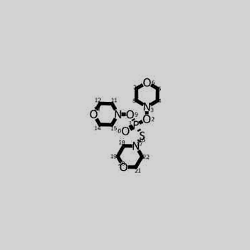 O=P(ON1CCOCC1)(ON1CCOCC1)SN1CCOCC1